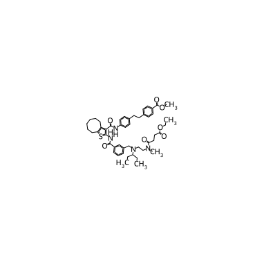 CCOC(=O)CCC(=O)N(C)CCN(Cc1cccc(C(=O)Nc2sc3c(c2C(=O)Nc2ccc(CCc4ccc(C(=O)OC)cc4)cc2)CCCCCC3)c1)C(CC)CC